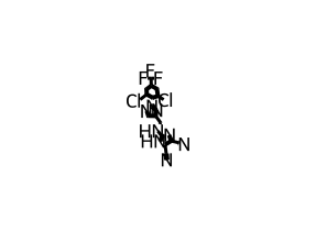 N#Cc1nc(NCc2cnn(-c3c(Cl)cc(C(F)(F)F)cc3Cl)n2)[nH]c1C#N